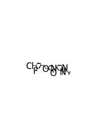 Cn1c(C2CC2)nc2ccc(-n3ccc(OCc4ccc(Cl)c(F)c4)cc3=O)cc21